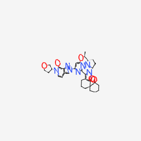 C[C@H](Oc1cc(-n2cc3ccn([C@@H]4CCOC4)c(=O)c3n2)nc(-c2noc3c2CCC[C@@]32CCCCC2=O)n1)[C@@H]1CCCN1C